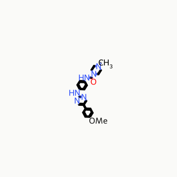 COc1ccc(-c2cnc(Nc3ccc(NC(=O)N4CCN(C)CC4)cc3)nc2)cc1